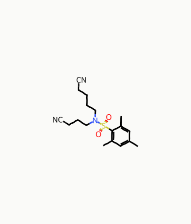 Cc1cc(C)c(S(=O)(=O)N(CCCC#N)CCCCC#N)c(C)c1